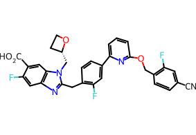 N#Cc1ccc(COc2cccc(-c3ccc(Cc4nc5cc(F)c(C(=O)O)cc5n4C[C@@H]4CCO4)c(F)c3)n2)c(F)c1